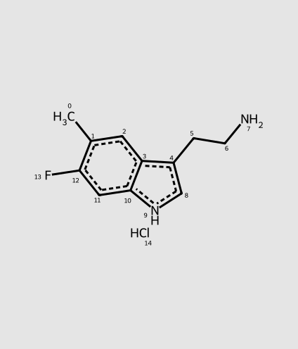 Cc1cc2c(CCN)c[nH]c2cc1F.Cl